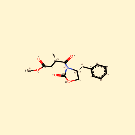 C[C@@H](CC(=O)OC(C)(C)C)C(=O)N1C(=O)OC[C@H]1Cc1ccccc1